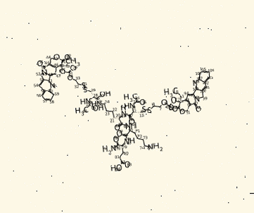 CC[C@]1(OC(=O)OCCSSC[C@@H](NC(C)=O)C(=O)N[C@@H](CCCCNC(O)[C@@H](CSSCCOC(=O)O[C@]2(CC)C(=O)OCc3c2cc2n(c3=O)Cc3cc4ccccc4nc3-2)NC(C)O)C(=O)N[C@@H](CCCCN)C(=O)N[C@@H](CCC(=O)O)C(N)=O)C(=O)OCc2c1cc1n(c2=O)Cc2cc3ccccc3nc2-1